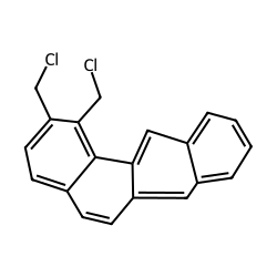 ClCc1ccc2ccc3cc4ccccc4cc3c2c1CCl